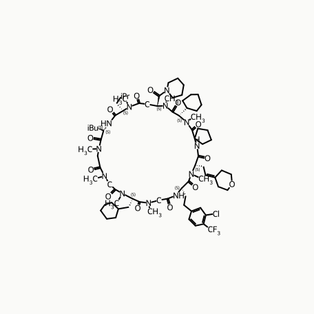 CC[C@H](C)[C@@H]1NC(=O)[C@H](CC(C)C)N(C)C(=O)C[C@@H](C(=O)N2CCCCC2)N(C)C(=O)[C@H](C2CCCCC2)N(C)C(=O)C2(CCCC2)NC(=O)[C@H](CC=C2CCOCC2)N(C)C(=O)[C@H](CCc2ccc(C(F)(F)F)c(Cl)c2)NC(=O)CN(C)C(=O)[C@H](CC2CCCCC2)N(C)C(=O)CN(C)C(=O)CN(C)C1=O